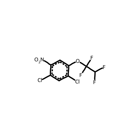 O=[N+]([O-])c1cc(OC(F)(F)C(F)F)c(Cl)cc1Cl